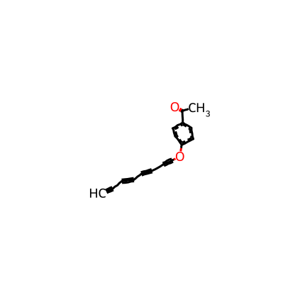 C#CC#CC#CC#COc1ccc(C(C)=O)cc1